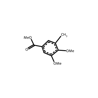 COC(=O)c1cc(C)c(OC)c(OC)c1